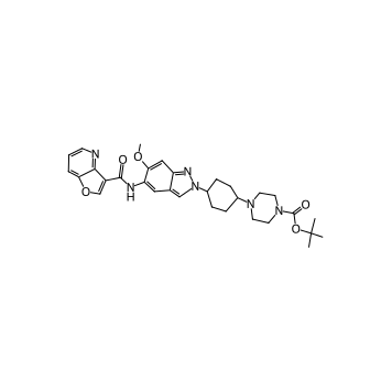 COc1cc2nn(C3CCC(N4CCN(C(=O)OC(C)(C)C)CC4)CC3)cc2cc1NC(=O)c1coc2cccnc12